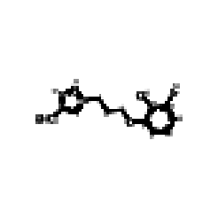 O=Cc1cn(CCCOc2cccc(Br)c2Cl)nn1